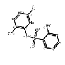 CC(C)c1ccccc1S(=O)(=O)Nc1nc(Cl)ncc1Cl